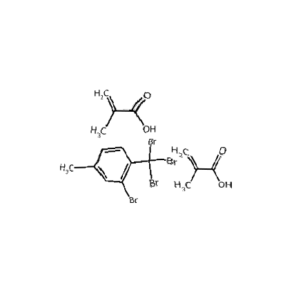 C=C(C)C(=O)O.C=C(C)C(=O)O.Cc1ccc(C(Br)(Br)Br)c(Br)c1